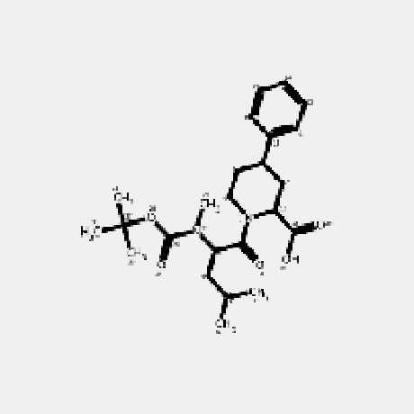 CC(C)CC(C(=O)N1CCC(c2ccccc2)CC1C(=O)O)N(C)C(=O)OC(C)(C)C